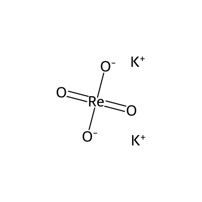 [K+].[K+].[O]=[Re](=[O])([O-])[O-]